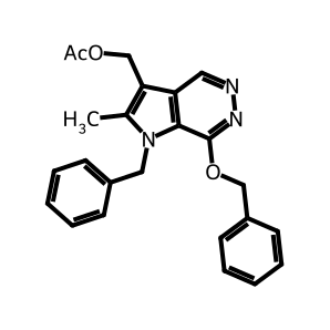 CC(=O)OCc1c(C)n(Cc2ccccc2)c2c(OCc3ccccc3)nncc12